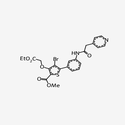 CCOC(=O)COc1c(C(=O)OC)sc(-c2cccc(NC(=O)Cc3ccncc3)c2)c1Br